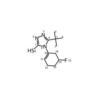 CC(C)(C)c1nnc(S)n1C1=CCCC(F)C1